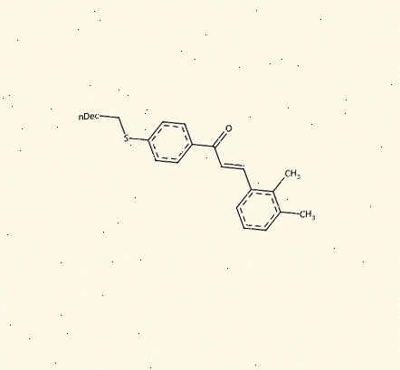 CCCCCCCCCCCSc1ccc(C(=O)C=Cc2cccc(C)c2C)cc1